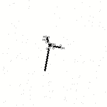 CCCCCCCCCCCCCCCCCC(=O)OCC(CO)(COC(=O)CCCCC(=O)O)COC(=O)CC(O)C(=O)O